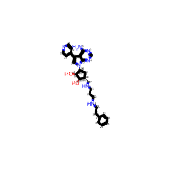 Nc1ncnc2c1c(-c1ccncc1)cn2[C@@H]1C[C@H](CNCCCNCCc2ccccc2)[C@@H](O)[C@H]1O